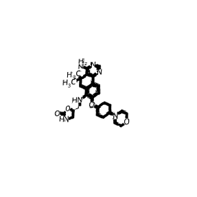 CC1(C)Cc2c(ccc(OC3CCC(N4CCOCC4)CC3)c2NC[C@@H]2CNC(=O)O2)-c2ncnc(N)c21